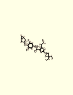 CCC1(CC)CN(c2nc(C(=O)Nc3cc(F)c(OC4CC5CC5C4)c(F)c3)c(CCF)o2)C1